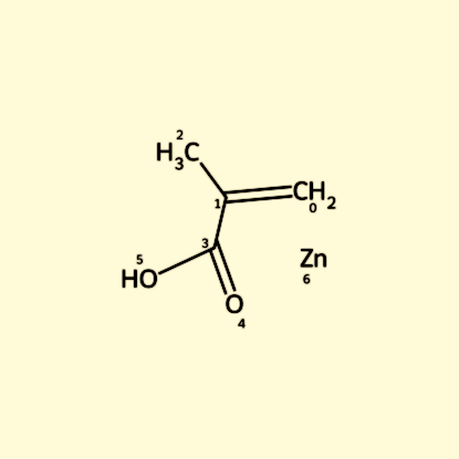 C=C(C)C(=O)O.[Zn]